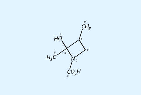 CC1CN(C(=O)O)C1(C)O